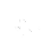 NC(=O)c1nc(S)sc1N